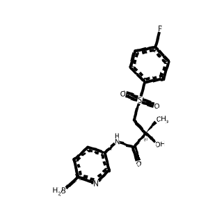 Bc1ccc(NC(=O)[C@@](C)(O)CS(=O)(=O)c2ccc(F)cc2)cn1